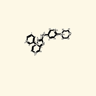 C1=C[N+]2(c3cccnc3)N=C(Nc3ccc(N4CCOCC4)nc3)N=C2C=N1